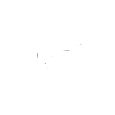 CCNCCCN1CC(C)NC1=O